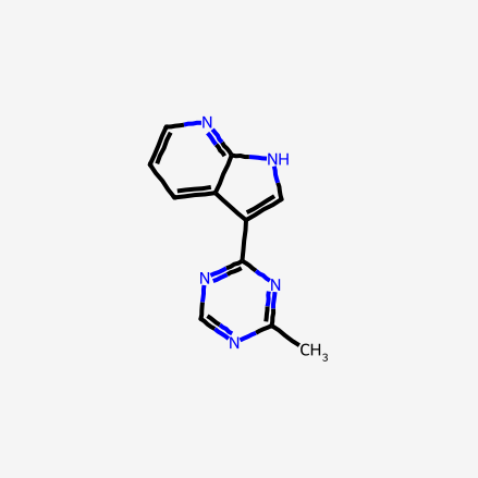 Cc1ncnc(-c2c[nH]c3ncccc23)n1